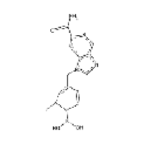 CC1C=C(Cn2cnc3cnc(C(N)=O)cc32)C=CC1B(O)O